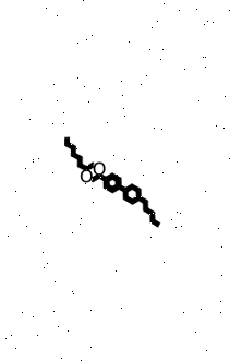 CCCCCCC1COC(c2ccc(C3CCC(CCCCC)CC3)cc2)CO1